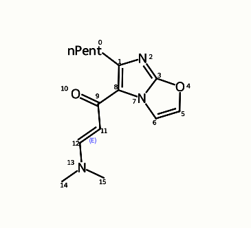 CCCCCc1nc2occn2c1C(=O)/C=C/N(C)C